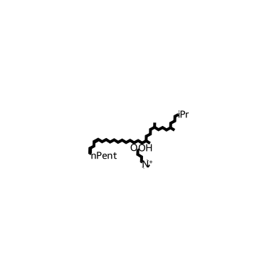 CCCCC/C=C\C/C=C\CCCCCCCCC(CCC(C)CCCC(C)CCCC(C)CCCC(C)C)O[C@H](O)CCC[N+](C)(C)C